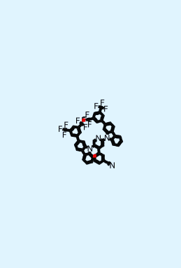 N#Cc1cccc(-c2cc(-n3c4ccccc4c4ccc(-c5cc(C(F)(F)F)cc(C(F)(F)F)c5)cc43)ncc2-n2c3ccccc3c3ccc(-c4cc(C(F)(F)F)cc(C(F)(F)F)c4)cc32)c1